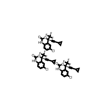 O=C1Nc2ccc(Cl)cc2[C@@](C#CC2CC2)(C(F)(F)F)O1.O=C1Nc2ccc(Cl)cc2[C@@](C#CC2CC2)(C(F)(F)F)O1.O=C1Nc2ccc(Cl)cc2[C@@](C#CC2CC2)(C(F)(F)F)O1